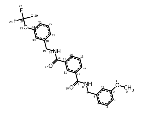 COc1cccc(CNC(=O)c2cccc(C(=O)NCc3cccc(OC(F)(F)F)c3)c2)c1